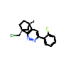 Fc1ccccc1-c1cc2c(nn1)[C@]1(CCl)CC[C@H]2C1